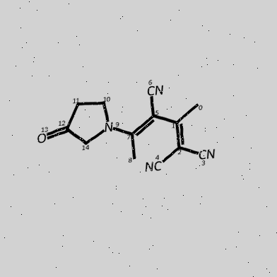 CC(=C(C#N)C#N)/C(C#N)=C(\C)N1CCC(=O)C1